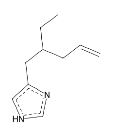 C=CCC(CC)Cc1c[nH]cn1